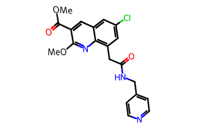 COC(=O)c1cc2cc(Cl)cc(CC(=O)NCc3ccncc3)c2nc1OC